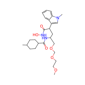 COCCOCOCC(CC(C(=O)NO)c1cn(C)c2ccccc12)NC(=O)C1CCC(C)CC1